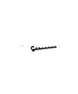 CO[C@@H](CO)CC(=O)OOOOOOOOOOOOOOO